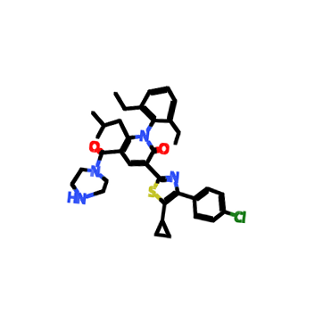 CCc1cccc(CC)c1-n1c(CC(C)C)c(C(=O)N2CCNCC2)cc(-c2nc(-c3ccc(Cl)cc3)c(C3CC3)s2)c1=O